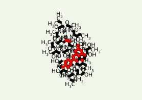 CC[C@H](C)[C@H](N)C(=O)N[C@@H](C)C(=O)N[C@@H](CC(C)C)C(=O)N[C@@H](C)C(=O)N[C@@H](CC(N)=O)C(=O)N[C@@H](C)C(=O)N[C@H](C(=O)N[C@@H](C)C(=O)N[C@H](C(=O)N[C@H](C(=O)N[C@@H](Cc1ccccc1)C(=O)N[C@@H](CC(=O)O)C(=O)N[C@H](C(=O)N[C@@H](CC(C)C)C(=O)N[C@@H](CC(=O)O)C(=O)N[C@H](C(=O)N[C@@H](CC(=O)O)C(=O)NCC(=O)N[C@@H](CO)C(=O)N[C@H](C(=O)O)[C@@H](C)O)[C@@H](C)CC)[C@@H](C)O)[C@@H](C)O)C(C)C)[C@@H](C)O